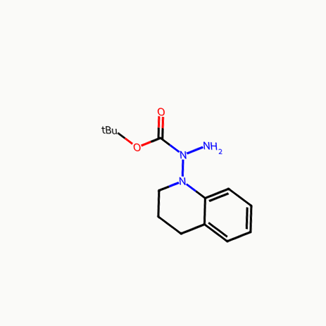 CC(C)(C)OC(=O)N(N)N1CCCc2ccccc21